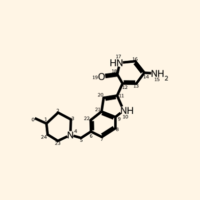 CC1CCN(Cc2ccc3[nH]c(-c4cc(N)c[nH]c4=O)cc3c2)CC1